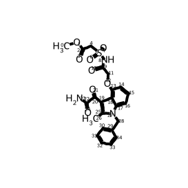 COC(=O)CS(=O)(=O)NC(=O)COc1cccc2c1c(C(=O)C(N)=O)c(C)n2Cc1ccccc1